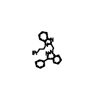 CC(C)CCn1c(Cn2nc(-c3ccccc3)c3ccccc32)nc2ccccc21